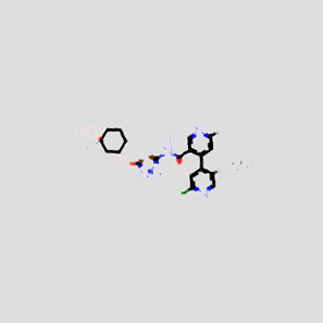 COc1cnc(Cl)cc1-c1cc(C)ncc1C(=O)Nc1nnc(O[C@H]2CCC[C@@](C)(O)C2)s1